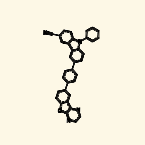 N#Cc1ccc2c(c1)c1cc(-c3ccc(-c4ccc5oc6nccnc6c5c4)cc3)ccc1n2-c1ccccc1